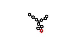 c1ccc(-c2ccc(-c3ccc(N(c4ccc(-c5ccc6ccccc6c5)cc4)c4cccc(-c5cccc(-c6ccccc6)c5-c5ccccc5-c5ccccc5)c4)cc3)cc2)cc1